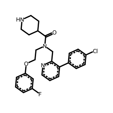 O=C(C1CCNCC1)N(CCOc1cccc(F)c1)Cc1ncccc1-c1ccc(Cl)cc1